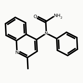 Cc1cc(N(C(N)=O)c2ccccc2)c2ccccc2n1